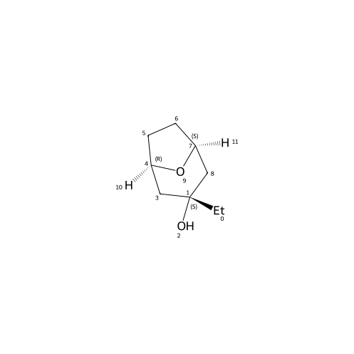 CC[C@@]1(O)C[C@H]2CC[C@@H](C1)O2